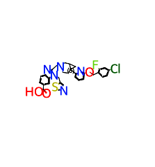 O=C(O)c1ccc2nc(CN3CC[C@@]4(c5cccc(OCc6ccc(Cl)cc6F)n5)CC4C3)n(Cc3cncs3)c2c1